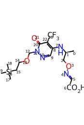 C[C@@H](CO/N=C/C(=O)O)Nc1cnn(COCC[Si](C)(C)C)c(=O)c1C(F)(F)F